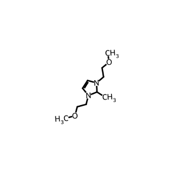 COCCN1C=CN(CCOC)C1C